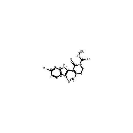 CC(C)(C)OC(=O)N1CCC(O)=C(c2[nH]c3cc(F)ccc3c2S)C1=O